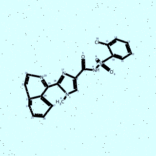 Cn1cc(C(=O)NS(=O)(=O)c2ccccc2Cl)nc1-c1nccc2ccccc12